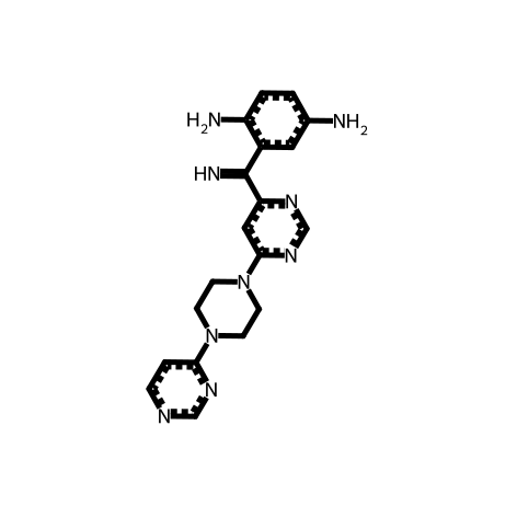 N=C(c1cc(N2CCN(c3ccncn3)CC2)ncn1)c1cc(N)ccc1N